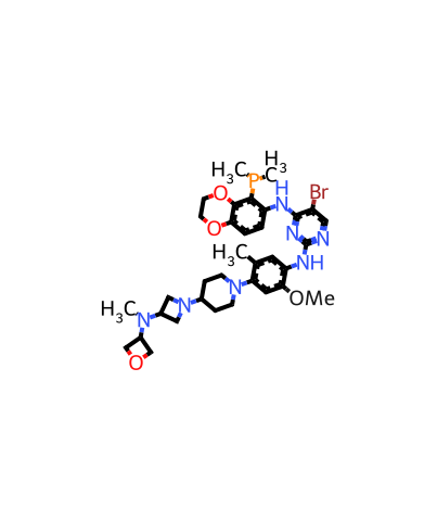 COc1cc(N2CCC(N3CC(N(C)C4COC4)C3)CC2)c(C)cc1Nc1ncc(Br)c(Nc2ccc3c(c2P(C)C)OCCO3)n1